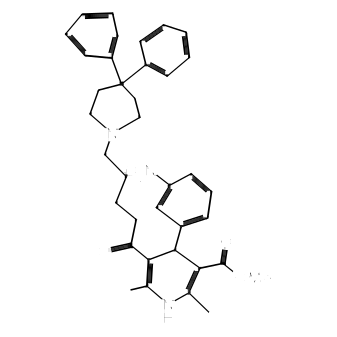 COC(=O)C1=C(C)NC(C)=C(C(=O)CCCCN2CCC(c3ccccc3)(c3ccccc3)CC2)C1c1cccc([N+](=O)[O-])c1